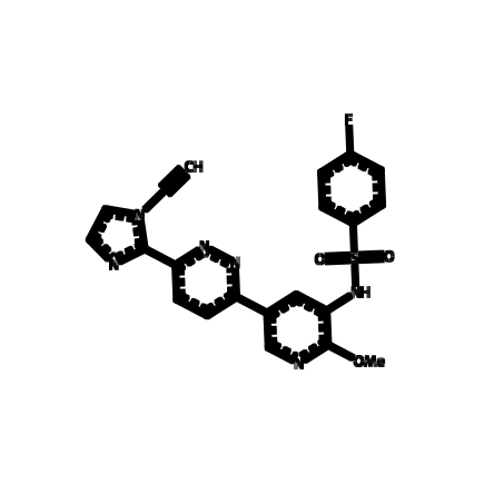 C#Cn1ccnc1-c1ccc(-c2cnc(OC)c(NS(=O)(=O)c3ccc(F)cc3)c2)nn1